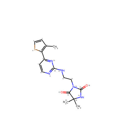 Cc1ccsc1-c1ccnc(NCCN2C(=O)NC(C)(C)C2=O)n1